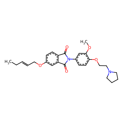 CCC=CCOc1ccc2c(c1)C(=O)N(c1ccc(OCCN3CCCC3)c(OC)c1)C2=O